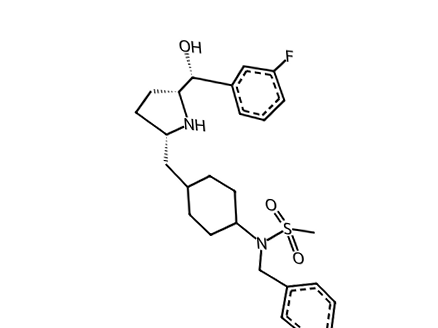 CS(=O)(=O)N(Cc1ccccc1)C1CCC(C[C@@H]2CC[C@H]([C@H](O)c3cccc(F)c3)N2)CC1